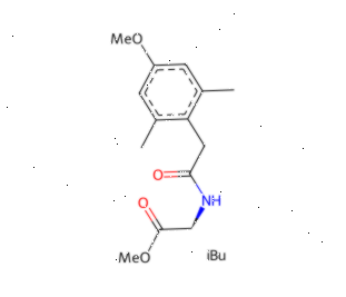 CC[C@H](C)[C@H](NC(=O)Cc1c(C)cc(OC)cc1C)C(=O)OC